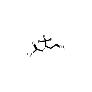 [CH2]C(=O)C[C@@H](CC=C)C(F)(F)F